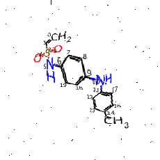 C=CS(=O)(=O)Nc1ccc(Nc2ccc(C)cc2)cc1